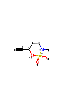 C#CC1CCN(C)S(=O)(=O)O1